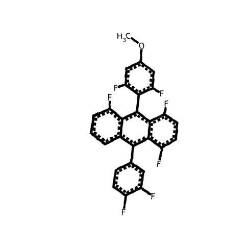 COc1cc(F)c(-c2c3c(F)cccc3c(-c3ccc(F)c(F)c3)c3c(F)ccc(F)c23)c(F)c1